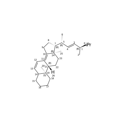 CC(C)[C@@H](C)C=C[C@@H](C)[C@H]1CCC2=C3C=CC4CCCC[C@]4(C)[C@H]3CC[C@@]21C